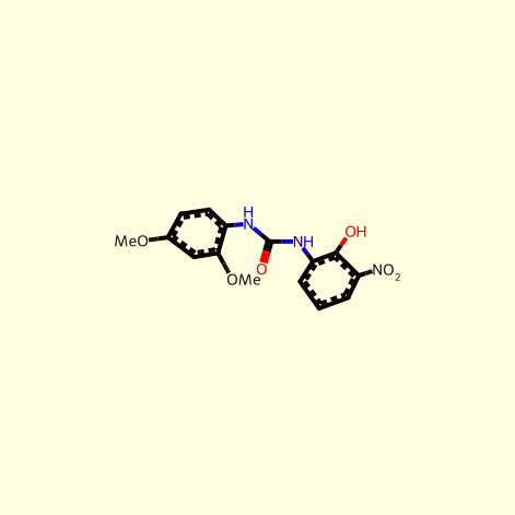 COc1ccc(NC(=O)Nc2cccc([N+](=O)[O-])c2O)c(OC)c1